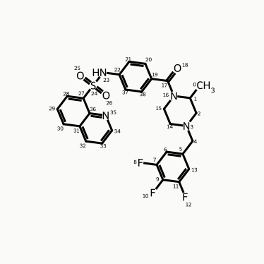 CC1CN(Cc2cc(F)c(F)c(F)c2)CCN1C(=O)c1ccc(NS(=O)(=O)c2cccc3cccnc23)cc1